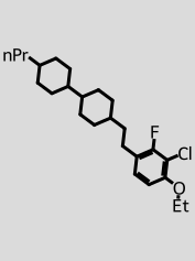 CCCC1CCC(C2CCC(CCc3ccc(OCC)c(Cl)c3F)CC2)CC1